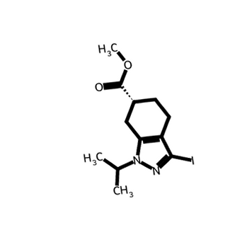 COC(=O)[C@@H]1CCc2c(I)nn(C(C)C)c2C1